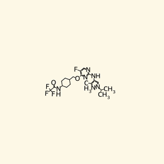 Cc1nn(C(C)C)cc1Nc1ncc(F)c(OCC2CCC(NC(=O)C(F)(F)F)CC2)n1